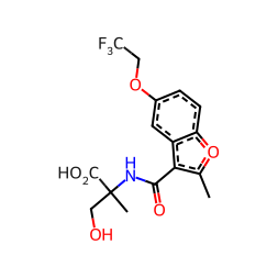 Cc1oc2ccc(OCC(F)(F)F)cc2c1C(=O)NC(C)(CO)C(=O)O